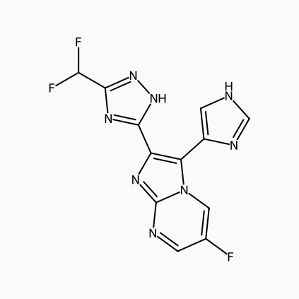 Fc1cnc2nc(-c3nc(C(F)F)n[nH]3)c(-c3c[nH]cn3)n2c1